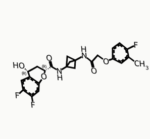 Cc1cc(OCC(=O)NC23CC(NC(=O)[C@H]4C[C@@H](O)c5cc(F)c(F)cc5O4)(C2)C3)ccc1F